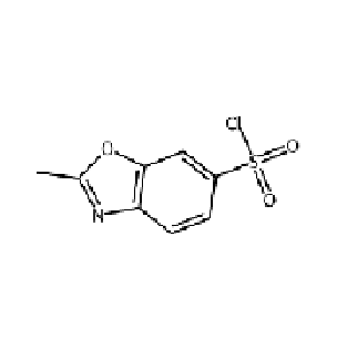 Cc1nc2ccc(S(=O)(=O)Cl)cc2o1